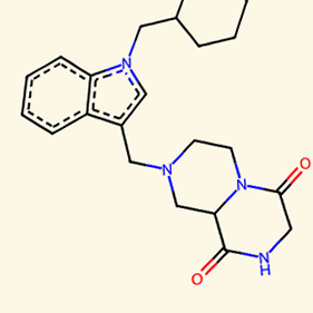 O=C1NCC(=O)N2CCN(Cc3cn(CC4CCCCC4)c4ccccc34)CC12